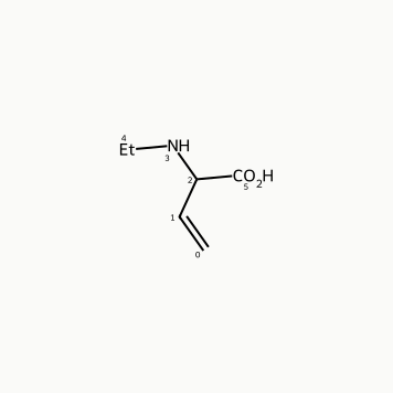 C=CC(NCC)C(=O)O